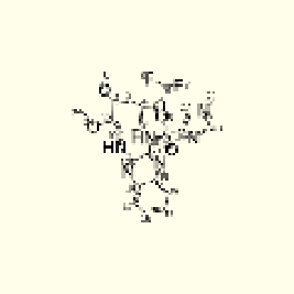 COc1cc(OC(F)F)cc(Nc2nc3ccccc3nc2NS(=O)(=O)c2cn(C)cn2)c1OC